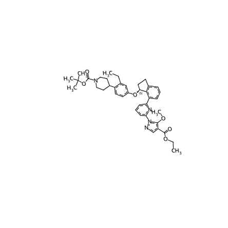 CCOC(=O)c1cnn(-c2cccc(-c3cccc4c3[C@@H](Oc3ccc(C5CCN(C(=O)OC(C)(C)C)CC5)c(CC)c3)CC4)n2)c1OC